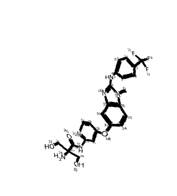 Cn1c(Nc2ccc(C(F)(F)F)cc2)nc2cc(Oc3ccnc(NC(=O)C(N)(CO)CO)c3)ccc21